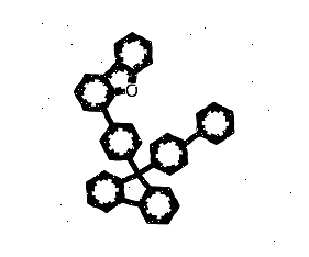 c1ccc(-c2ccc(C3(c4ccc(-c5cccc6c5oc5ccccc56)cc4)c4ccccc4-c4ccccc43)cc2)cc1